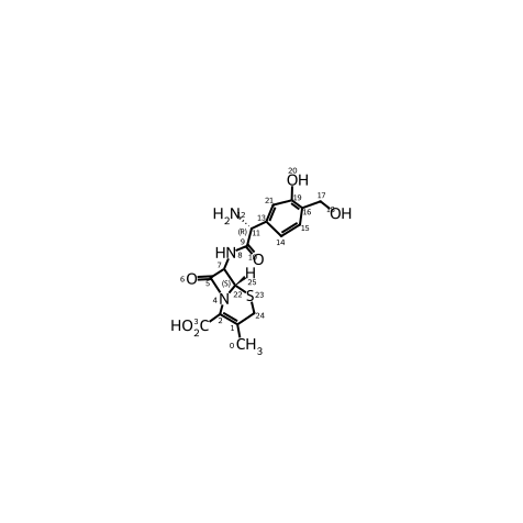 CC1=C(C(=O)O)N2C(=O)C(NC(=O)[C@H](N)c3ccc(CO)c(O)c3)[C@@H]2SC1